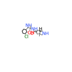 CC(C)(NC(=O)[C@H]1C[C@@H]2CNCC2(C)C1)C(=N)c1cccc(Cl)c1O